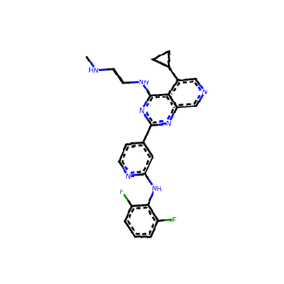 CNCCNc1nc(-c2ccnc(Nc3c(F)cccc3F)c2)nc2cncc(C3CC3)c12